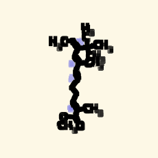 C\C=C(/C=C(C)/C=C/CC/C=C(\C)C(=O)OC)C(C)(C)C